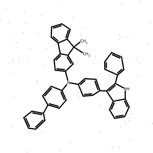 CC1(C)c2ccccc2-c2ccc(N(c3ccc(-c4ccccc4)cc3)c3ccc(-c4c(-c5ccccc5)[nH]c5ccccc45)cc3)cc21